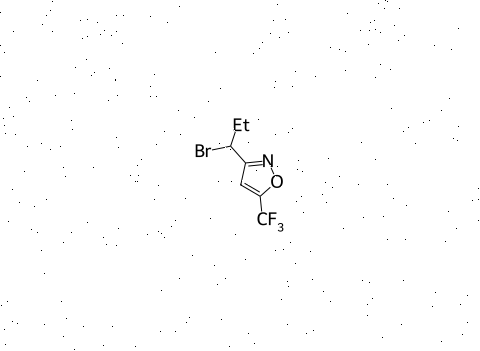 CCC(Br)c1cc(C(F)(F)F)on1